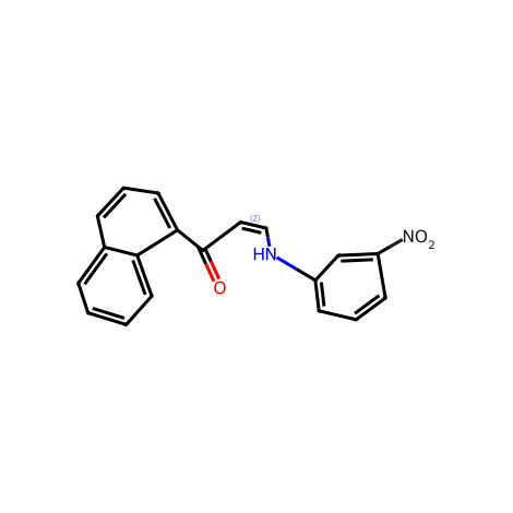 O=C(/C=C\Nc1cccc([N+](=O)[O-])c1)c1cccc2ccccc12